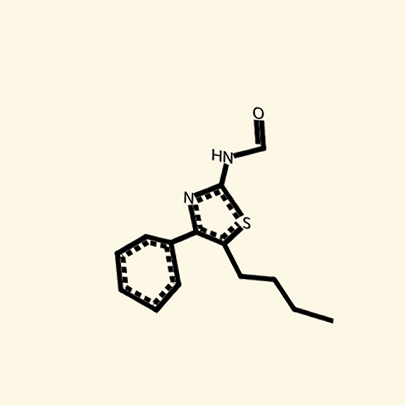 CCCCc1sc(NC=O)nc1-c1ccccc1